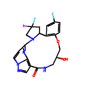 O=C1NC[C@H](O)COc2ccc(F)cc2C2CC(F)(I)CN2c2ccn3ncc1c3n2